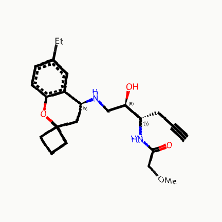 C#CC[C@H](NC(=O)COC)[C@H](O)CN[C@H]1CC2(CCC2)Oc2ccc(CC)cc21